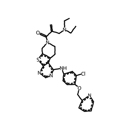 C=C(CN(CC)CC)C(=O)N1CCc2c(sc3ncnc(Nc4ccc(OCc5ccccn5)c(Cl)c4)c23)C1